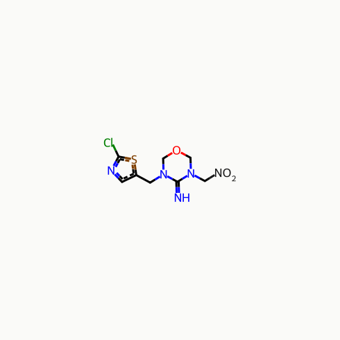 N=C1N(Cc2cnc(Cl)s2)COCN1C[N+](=O)[O-]